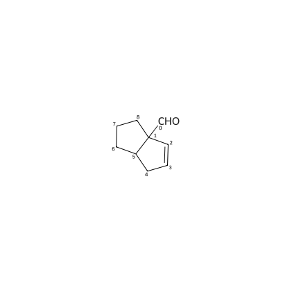 O=CC12C=CCC1CCC2